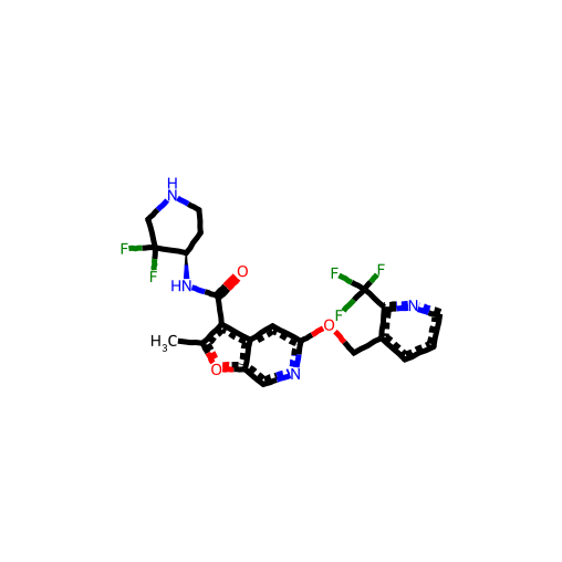 Cc1oc2cnc(OCc3cccnc3C(F)(F)F)cc2c1C(=O)N[C@@H]1CCNCC1(F)F